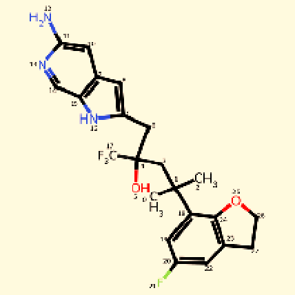 CC(C)(CC(O)(Cc1cc2cc(N)ncc2[nH]1)C(F)(F)F)c1cc(F)cc2c1OCC2